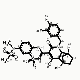 CN(c1ccc2c(c1)S(=O)(=O)N=C(C1=C(O)C3C([C@@H]4CC[C@H]3C4)N(Cc3ccc(F)c(F)c3)C1=O)N2)S(C)(=O)=O